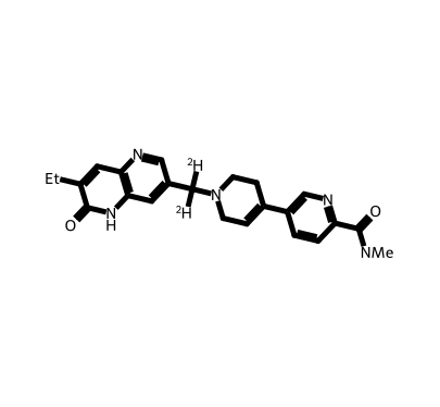 [2H]C([2H])(c1cnc2cc(CC)c(=O)[nH]c2c1)N1CC=C(c2ccc(C(=O)NC)nc2)CC1